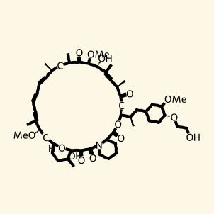 COC1C(=O)C(C)C[C@H](C)/C=C/C=C/C=C(\C)[C@@H](OC)C[C@@H]2CCC(C)C(O)(O2)C(=O)C(=O)N2CCCCC2C(=O)O[C@H]([C@H](C)CC2CC[C@@H](OCCO)C(OC)C2)CC(=O)[C@H](C)/C=C(\C)[C@H]1O